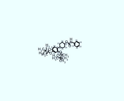 CC(C)(C)[Si](C)(C)Oc1ccc(C2CCC(OC(=O)Nc3ccccc3)CC2)c(O[Si](C)(C)C(C)(C)C)c1